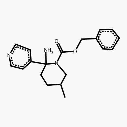 CC1CCC(N)(c2ccncc2)N(C(=O)OCc2ccccc2)C1